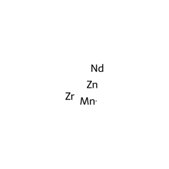 [Mn].[Nd].[Zn].[Zr]